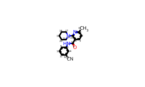 Cc1ccc(C(=O)Nc2cccc(C#N)c2)c(N2CCCCC2)n1